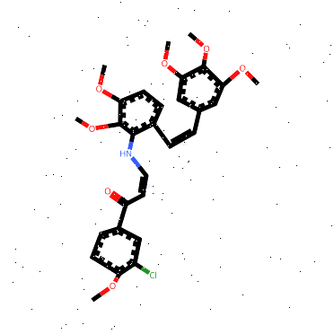 COc1ccc(C(=O)/C=C\Nc2c(/C=C\c3cc(OC)c(OC)c(OC)c3)ccc(OC)c2OC)cc1Cl